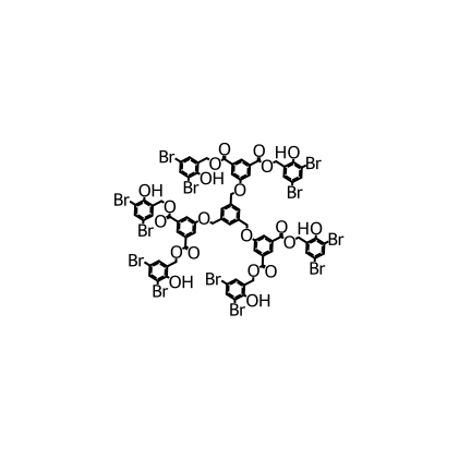 O=C(OCc1cc(Br)cc(Br)c1O)c1cc(OCc2cc(COc3cc(C(=O)OCc4cc(Br)cc(Br)c4O)cc(C(=O)OCc4cc(Br)cc(Br)c4O)c3)cc(COc3cc(C(=O)OCc4cc(Br)cc(Br)c4O)cc(C(=O)OCc4cc(Br)cc(Br)c4O)c3)c2)cc(C(=O)OCc2cc(Br)cc(Br)c2O)c1